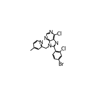 Cc1ccnc(Cn2c(-c3ccc(Br)cc3Cl)nc3c(Cl)ncnc32)c1